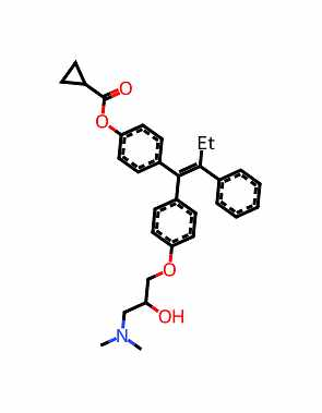 CCC(=C(c1ccc(OCC(O)CN(C)C)cc1)c1ccc(OC(=O)C2CC2)cc1)c1ccccc1